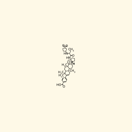 CCC(NC1CCS(=O)(=O)C1)C(=O)N[C@]12CCCC1[C@H]1CCC3[C@@]4(C)CC=C(c5ccc(C(=O)O)cc5)C(C)(C)C4CC[C@@]3(C)[C@]1(C)CC2